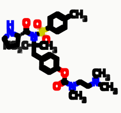 Cc1ccc(S(=O)(=O)N(C(=O)[C@@H]2CCCN2)[C@@](C)(Cc2ccc(OC(=O)N(C)CCN(C)C)cc2)C(=O)O)cc1